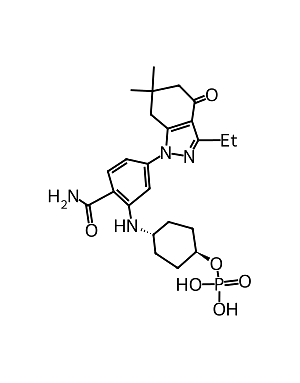 CCc1nn(-c2ccc(C(N)=O)c(N[C@H]3CC[C@H](OP(=O)(O)O)CC3)c2)c2c1C(=O)CC(C)(C)C2